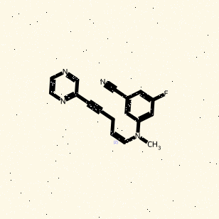 CN(/C=C\CC#Cc1cnccn1)c1cc(F)cc(C#N)c1